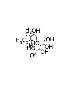 Cc1c(O)cccc1C(C)C.O=CC(O)C(O)C(O)C(O)CO